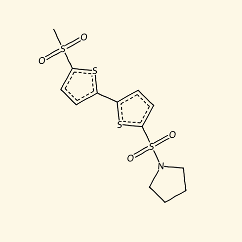 CS(=O)(=O)c1ccc(-c2ccc(S(=O)(=O)N3CCCC3)s2)s1